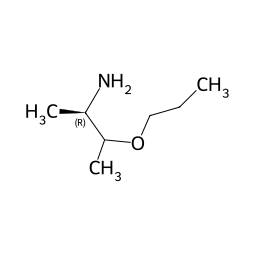 CCCOC(C)[C@@H](C)N